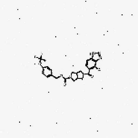 O=C(OCc1ccc(OC(F)(F)F)cc1)N1CC2CN(C(=O)c3ccc4[nH]nnc4c3Cl)CC2C1